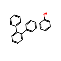 Oc1ccccc1.c1ccc(-c2ccccc2-c2ccccc2)cc1